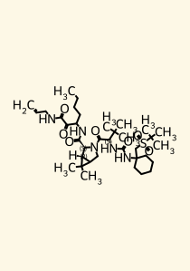 C=CCNC(=O)C(=O)C(CCCC)NC(=O)[C@@H]1[C@@H]2C(CN1C(=O)[C@@H](NC(=O)NC1(CS(=O)(=O)C(C)(C)C)CCCCC1)C(C)(C)C)C2(C)C